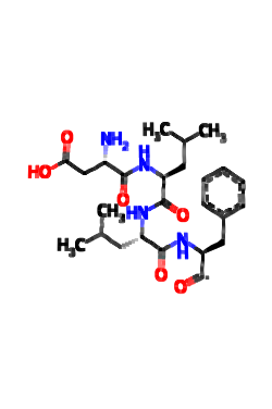 CC(C)C[C@H](NC(=O)[C@H](CC(C)C)NC(=O)[C@@H](N)CC(=O)O)C(=O)N[C@H]([C]=O)Cc1ccccc1